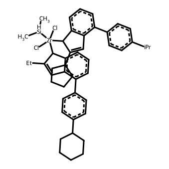 CCC1=Cc2c(-c3ccc(C4CCCCC4)cc3)cccc2[CH]1[Zr]([Cl])([Cl])([CH]1C(C2CCCC2)=Cc2c(-c3ccc(C(C)C)cc3)cccc21)[SiH](C)C